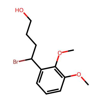 COc1cccc(C(Br)CCCO)c1OC